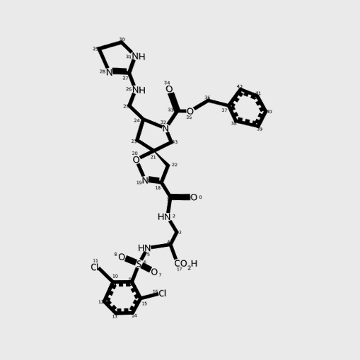 O=C(NCC(NS(=O)(=O)c1c(Cl)cccc1Cl)C(=O)O)C1=NO[C@]2(C1)CC(CNC1=NCCN1)N(C(=O)OCc1ccccc1)C2